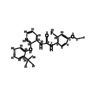 CCOc1ccc(NC(=O)Nc2cccnc2Oc2ccccc2C(C)(C)C)c(F)c1